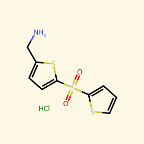 Cl.NCc1ccc(S(=O)(=O)c2cccs2)s1